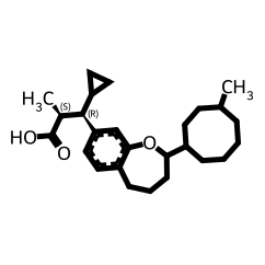 CC1CCCCC(C2CCCc3ccc([C@H](C4CC4)[C@H](C)C(=O)O)cc3O2)CC1